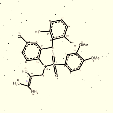 COc1ccc(S(=O)(=O)N(C/C(O)=C(/C)N)c2ccc(Cl)cc2Cc2c(F)cccc2F)cc1OC